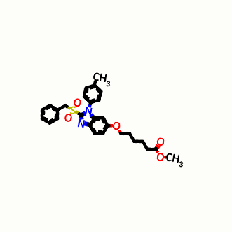 COC(=O)CCCCCOc1ccc2nc(S(=O)(=O)Cc3ccccc3)n(-c3ccc(C)cc3)c2c1